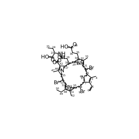 C=CC1=C(C)c2nc1c(Br)c1[nH]c(c(Br)c3nc(c(CC(=O)NC(CC)C(=O)O)c4[nH]c(c(C)c4CCC(=O)O)c2Br)C(C(=O)O)=C3C)c(CC)c1C